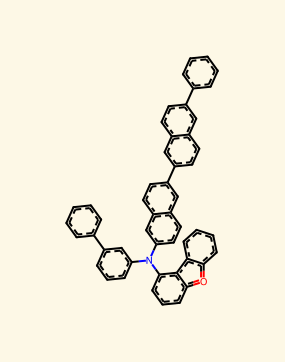 c1ccc(-c2cccc(N(c3ccc4cc(-c5ccc6cc(-c7ccccc7)ccc6c5)ccc4c3)c3cccc4oc5ccccc5c34)c2)cc1